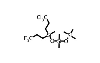 C[Si](C)(C)O[Si](C)(C)O[Si](C)(CCC(F)(F)F)CCC(Cl)(Cl)Cl